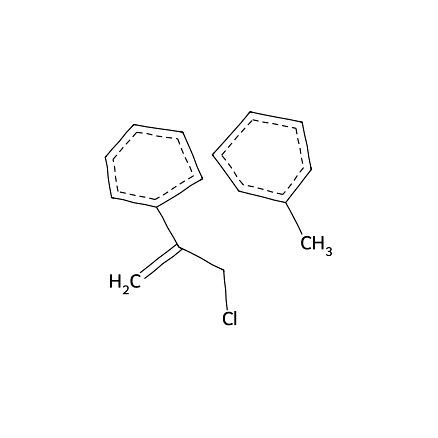 C=C(CCl)c1ccccc1.Cc1ccccc1